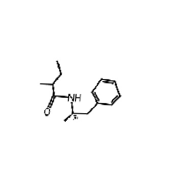 CCC(C)C(=O)N[C@H](C)Cc1ccccc1